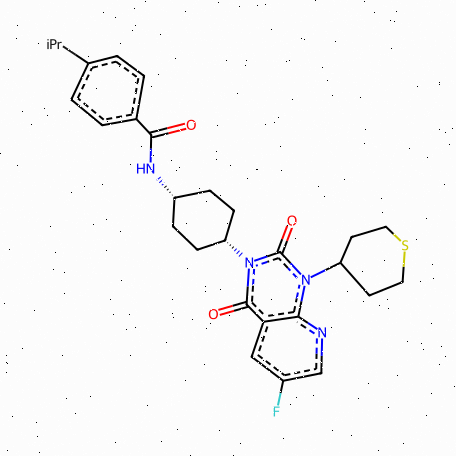 CC(C)c1ccc(C(=O)N[C@H]2CC[C@@H](n3c(=O)c4cc(F)cnc4n(C4CCSCC4)c3=O)CC2)cc1